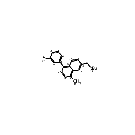 Cc1cccc(-c2ncc(C)c3cc(CC(C)(C)C)ccc23)c1